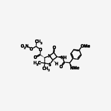 CN[C@@H](C(=O)N[C@@H]1C(=O)N2[C@@H]1SC(C)(C)[C@@H]2C(=O)OC(C)O[N+](=O)[O-])c1ccc(OC)cc1